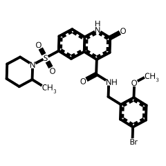 COc1ccc(Br)cc1CNC(=O)c1cc(=O)[nH]c2ccc(S(=O)(=O)N3CCCCC3C)cc12